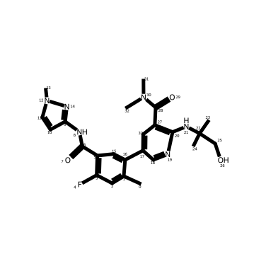 Cc1cc(F)c(C(=O)Nc2ccn(C)n2)cc1-c1cnc(NC(C)(C)CO)c(C(=O)N(C)C)c1